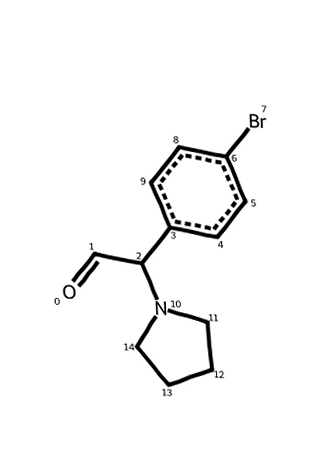 O=CC(c1ccc(Br)cc1)N1CCCC1